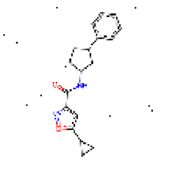 O=C(NC1CCC(c2ccccc2)C1)c1cc(C2CC2)on1